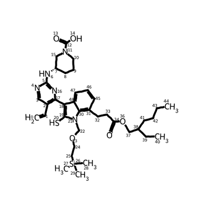 C=Cc1cnc(N[C@H]2CCCN(C(=O)O)C2)nc1-c1c(S)n(COCC[Si](C)(C)C)c2c(CCC(=O)OCC(CC)CCCC)cccc12